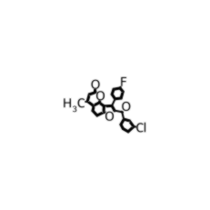 Cc1cc(=O)oc2c1ccc1oc(C(=O)c3cccc(Cl)c3)c(-c3ccc(F)cc3)c12